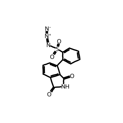 [N-]=[N+]=NS(=O)(=O)c1ccccc1-c1cccc2c1C(=O)NC2=O